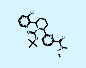 CON(C)C(=O)c1cccc(C2CCCC(c3ncccc3Cl)N2C(=O)OC(C)(C)C)n1